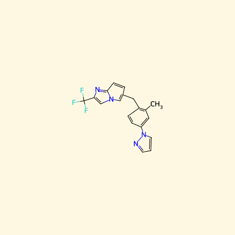 Cc1cc(-n2cccn2)ccc1Cc1ccc2nc(C(F)(F)F)cn2c1